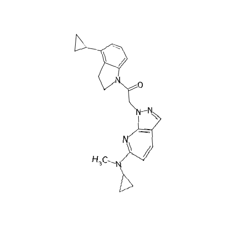 CN(c1ccc2cnn(CC(=O)N3CCc4c(C5CC5)cccc43)c2n1)C1CC1